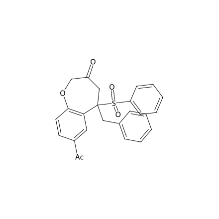 CC(=O)c1ccc2c(c1)C(Cc1ccccc1)(S(=O)(=O)c1ccccc1)CC(=O)CO2